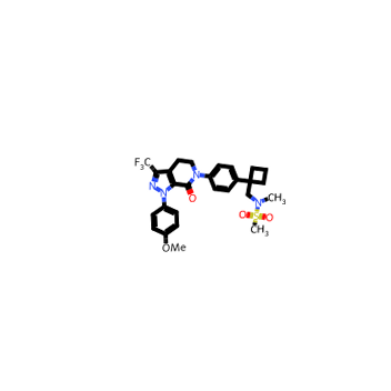 COc1ccc(-n2nc(C(F)(F)F)c3c2C(=O)N(c2ccc(C4(CN(C)S(C)(=O)=O)CCC4)cc2)CC3)cc1